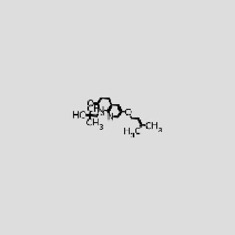 CC(C)CCOc1cnc2c(c1)CCC(=O)N2CC(C)(C)O